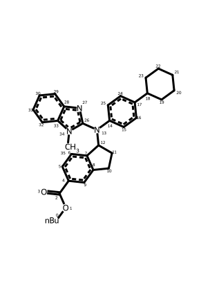 CCCCOC(=O)c1ccc2c(c1)CCC2N(c1ccc(C2CCCCC2)cc1)c1nc2ccccc2n1C